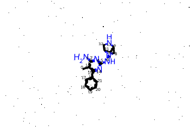 Cc1c(N)nc(NN2CC3CC2CN3)nc1-c1ccccc1